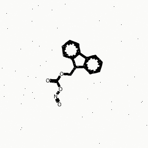 O=NOC(=O)OCC1c2ccccc2-c2ccccc21